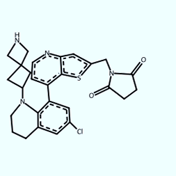 O=C1CCC(=O)N1Cc1cc2nccc(-c3cc(Cl)cc4c3N(C3CC5(CNC5)C3)CCC4)c2s1